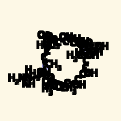 CCCCC1C(=O)OC(C(C)C(O)CCCNC(=N)N)C(C)/C=C(\C)CCCCC(O)CC(O)CC(O)CC(O)CC(O)C(O[C@H]2O[C@H](CO)[C@@H](O)[C@@H]2O)/C=C(\C)C(O)CCCC(O)CCCC(O)CCC(C)C1O.CN1CCCC1=O